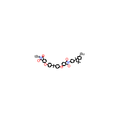 CCC(C)c1ccc2c(c1)C(C)(c1ccc(N3C(=O)c4ccc(Oc5ccc(C(C)(C)c6ccc(Oc7ccc8c(c7)C(=O)N(C(C)(C)C)C8=O)cc6)cc5)cc4C3=O)cc1)CC2(C)C